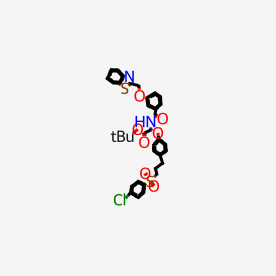 CC(C)(C)OC(=O)C(NC(=O)c1cccc(OCc2nc3ccccc3s2)c1)Oc1ccc(CCCS(=O)(=O)c2ccc(Cl)cc2)cc1